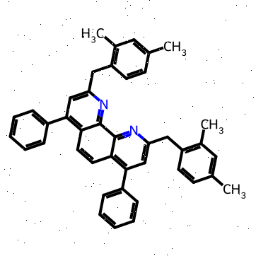 Cc1ccc(Cc2cc(-c3ccccc3)c3ccc4c(-c5ccccc5)cc(Cc5ccc(C)cc5C)nc4c3n2)c(C)c1